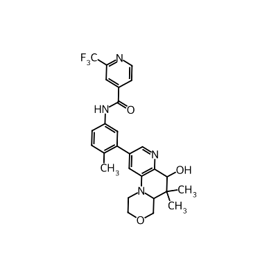 Cc1ccc(NC(=O)c2ccnc(C(F)(F)F)c2)cc1-c1cnc2c(c1)N1CCOCC1C(C)(C)C2O